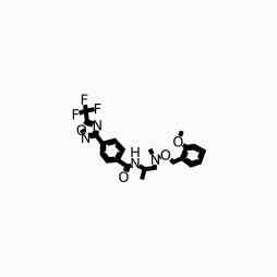 COc1ccccc1CON(C)CC(C)NC(=O)c1ccc(-c2noc(C(F)(F)F)n2)cc1